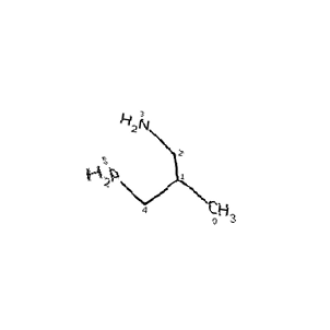 CC(CN)CP